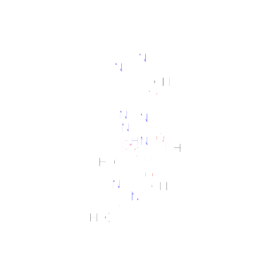 COc1cccc(OC)c1-n1c(NS(=O)(=O)C(C)C(OC)c2ncc(C)cn2)nnc1-c1ccc2nccnc2c1